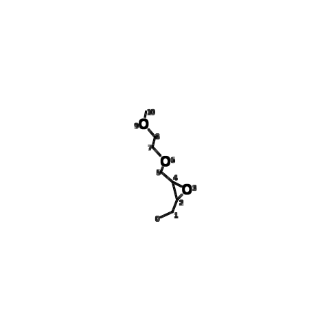 CCC1OC1COCCOC